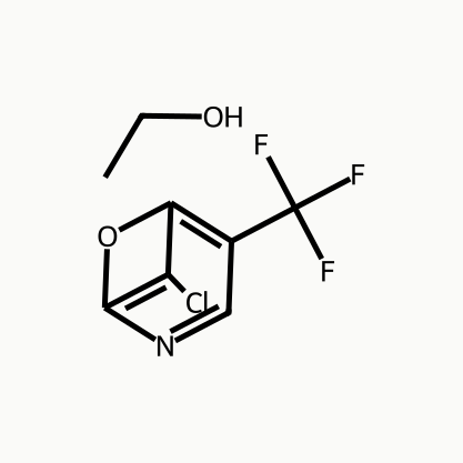 CCO.FC(F)(F)c1cnc2c(Cl)c1O2